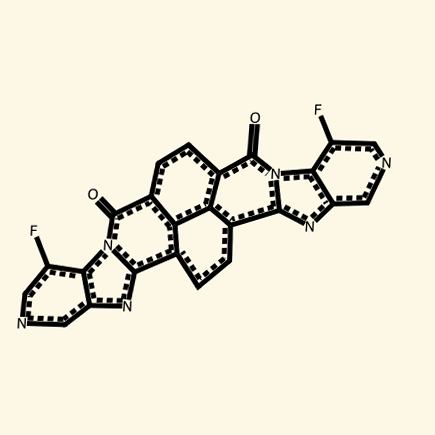 O=c1c2ccc3c(=O)n4c(nc5cncc(F)c54)c4ccc(c2c34)c2nc3cncc(F)c3n12